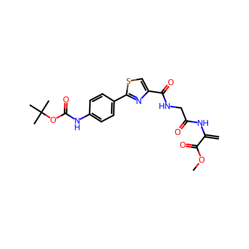 C=C(NC(=O)CNC(=O)c1csc(-c2ccc(NC(=O)OC(C)(C)C)cc2)n1)C(=O)OC